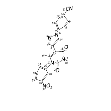 Cc1c(-c2cnn(-c3ccc(C#N)cc3)c2)c(=O)n(C)c(=O)n1-c1cccc([N+](=O)[O-])c1